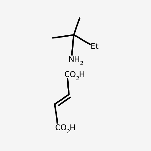 CCC(C)(C)N.O=C(O)C=CC(=O)O